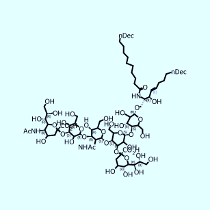 CCCCCCCCCCCCC/C=C/[C@@H](O)[C@H](CO[C@@H]1OC(CO)[C@@H](O[C@@H]2OC(CO)[C@H](O[C@@H]3OC(CO)[C@H](O)[C@H](O[C@@H]4OC(CO)[C@H](O)[C@H](O[C@]5(C(=O)O)CC(O)[C@@H](NC(C)=O)C([C@H](O)[C@H](O)CO)O5)C4O)C3NC(C)=O)[C@H](O[C@]3(C(=O)O)CC(O)[C@@H](O)C([C@H](O)[C@H](O)CO)O3)C2O)[C@H](O)C1O)NC(=O)CCCCCCCCCCCCCCCCCCC